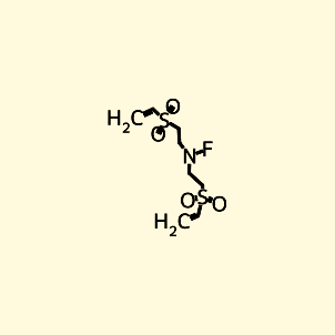 C=CS(=O)(=O)CCN(F)CCS(=O)(=O)C=C